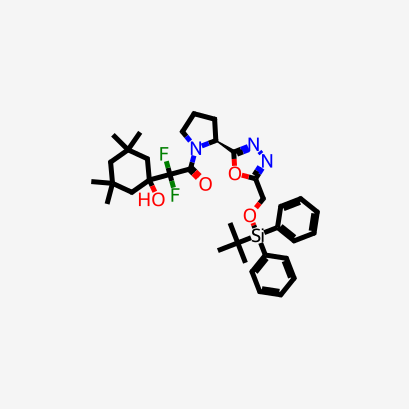 CC1(C)CC(C)(C)CC(O)(C(F)(F)C(=O)N2CCC[C@H]2c2nnc(CO[Si](c3ccccc3)(c3ccccc3)C(C)(C)C)o2)C1